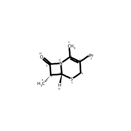 CC1=C(C(C)C)CS[C@@H]2[C@H](C)C(=O)N12